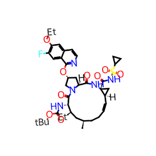 CCOc1cc2ccnc(O[C@@H]3C[C@H]4C(=O)N[C@]5(C(=O)NS(=O)(=O)C6CC6)C[C@H]5/C=C\CC[C@@H](C)C[C@@H](CC)[C@H](NC(=O)OC(C)(C)C)C(=O)N4C3)c2cc1F